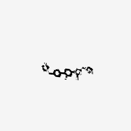 O=C1O[C@@H](Cn2ccnn2)CN1c1ccc(-c2ccc(Cn3ccnc3)cc2)c(F)c1